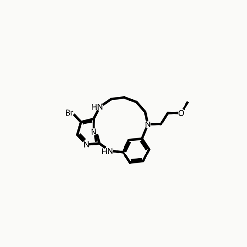 COCCN1CCCCNc2nc(ncc2Br)Nc2cccc1c2